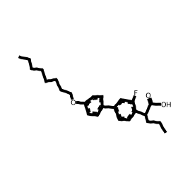 CCCCCCCCOc1ccc(-c2ccc(C(CCC)C(=O)O)c(F)c2)cc1